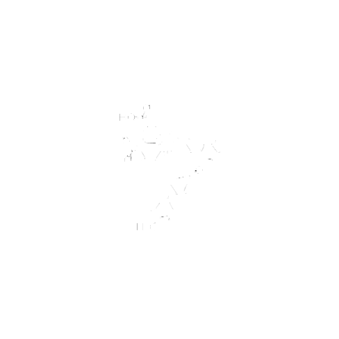 Cc1ccc(-c2ccc(COc3ccccc3C=CC(CCCCC(=O)O)Cc3ccc(C(=O)O)cc3)cc2)cc1